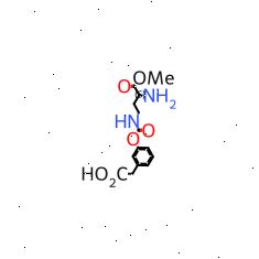 COC(=O)[C@@H](N)CCNC(=O)Oc1cccc(CC(=O)O)c1